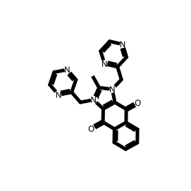 Cc1n(Cc2cnccn2)c2c([n+]1Cc1cnccn1)C(=O)c1ccccc1C2=O